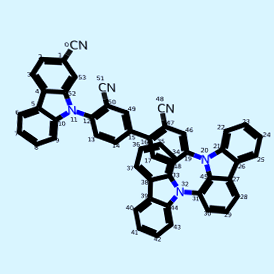 N#Cc1ccc2c3ccccc3n(-c3ccc(-c4ccc(-n5c6ccccc6c6cccc(-n7c8ccccc8c8ccccc87)c65)cc4C#N)cc3C#N)c2c1